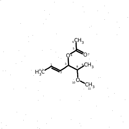 CC=CC(OC(C)=O)C(C)OC